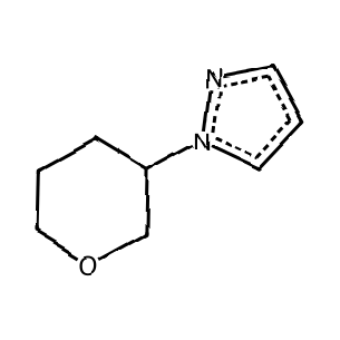 c1cnn(C2CCCOC2)c1